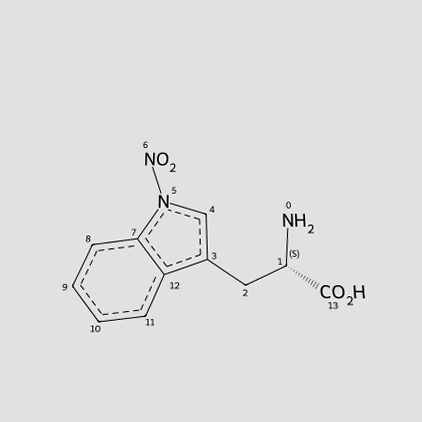 N[C@@H](Cc1cn([N+](=O)[O-])c2ccccc12)C(=O)O